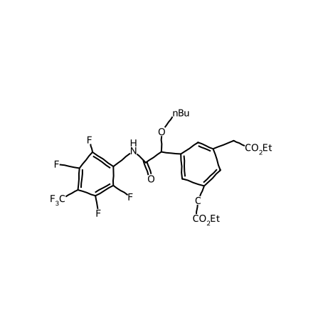 CCCCOC(C(=O)Nc1c(F)c(F)c(C(F)(F)F)c(F)c1F)c1cc(CC(=O)OCC)cc(CC(=O)OCC)c1